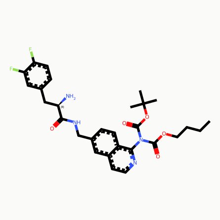 CCCCOC(=O)N(C(=O)OC(C)(C)C)c1nccc2cc(CNC(=O)[C@H](N)Cc3ccc(F)c(F)c3)ccc12